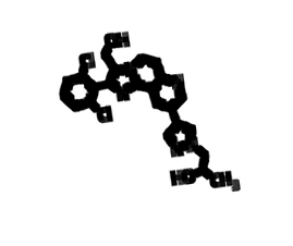 CC(O)Cn1cc(-c2cnc3ccn4c(CO)c(-c5c(Cl)cccc5Cl)nc4c3c2)cn1